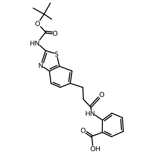 CC(C)(C)OC(=O)Nc1nc2ccc(CCC(=O)Nc3ccccc3C(=O)O)cc2s1